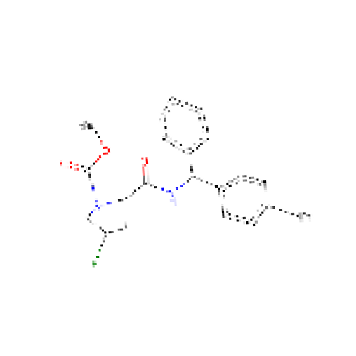 CC(C)c1ccc(C(NC(=O)C2CC(F)CN2C(=O)OC(C)(C)C)c2ccccc2)cc1